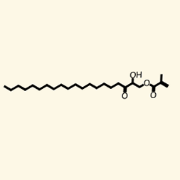 C=C(C)C(=O)OCC(O)C(=O)CCCCCCCCCCCCCCCCC